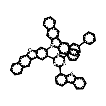 c1ccc(-c2ccc(-c3nc(-c4cc5c(cc4-n4c6cc7ccccc7cc6c6cc7ccccc7cc64)oc4cc6ccccc6cc45)nc(-c4cccc5c4sc4ccccc45)n3)cc2)cc1